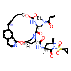 C=CC[C@](C)(NC(=O)[C@@H]1C[C@@H]2CN1C(=O)[C@H](CN(CC)C(=O)C=C)NC(=O)OCCC/C=C/c1ccc3ccnc(c3c1)O2)C(=O)NS(=O)(=O)C1CC1